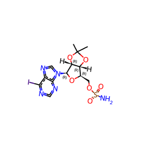 CC1(C)O[C@@H]2[C@H](O1)[C@@H](COS(N)(=O)=O)O[C@H]2n1cnc2c(I)ncnc21